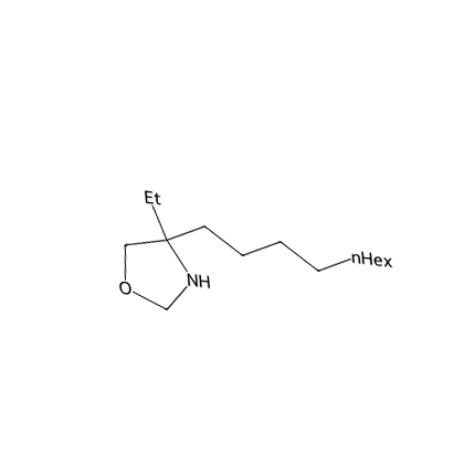 CCCCCCCCCCC1(CC)COCN1